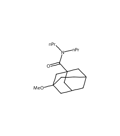 CCCN(CCC)C(=O)C12CC3CC(CC(OC)(C3)C1)C2